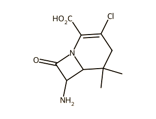 CC1(C)CC(Cl)=C(C(=O)O)N2C(=O)C(N)C21